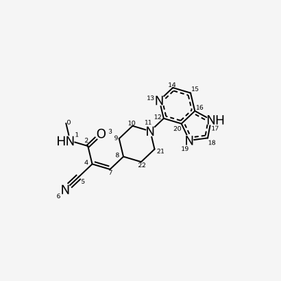 CNC(=O)C(C#N)=CC1CCN(c2nccc3[nH]cnc23)CC1